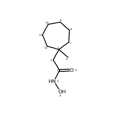 CC1(CC(=O)NO)CCCCCC1